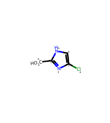 O=C(O)c1nc(Cl)c[nH]1